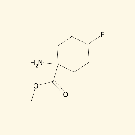 COC(=O)C1(N)CCC(F)CC1